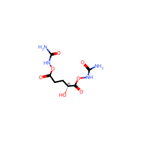 NC(=O)NOC(=O)CC[C@@H](O)C(=O)ONC(N)=O